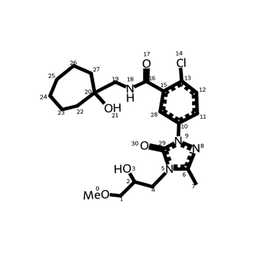 COCC(O)Cn1c(C)nn(-c2ccc(Cl)c(C(=O)NCC3(O)CCCCCC3)c2)c1=O